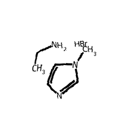 Br.CCN.Cn1ccnc1